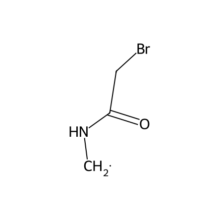 [CH2]NC(=O)CBr